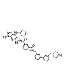 CCc1nc2c(cnn2CC)c(NC2CCOCC2)c1CNC(=O)c1cccc(C(=O)NCc2cccc(-c3cccc(CC4CCNCC4)c3)c2)c1